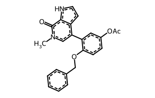 CC(=O)Oc1ccc(OCc2ccccc2)c(-c2cn(C)c(=O)c3[nH]ccc23)c1